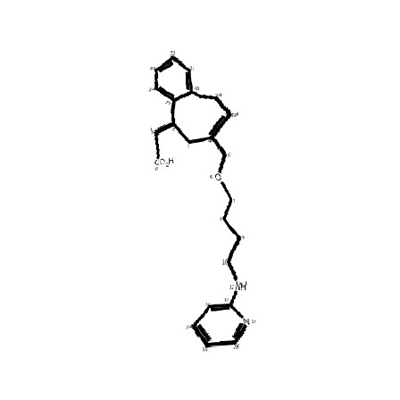 O=C(O)CC1CC(COCCCCNc2ccccn2)=CCc2ccccc21